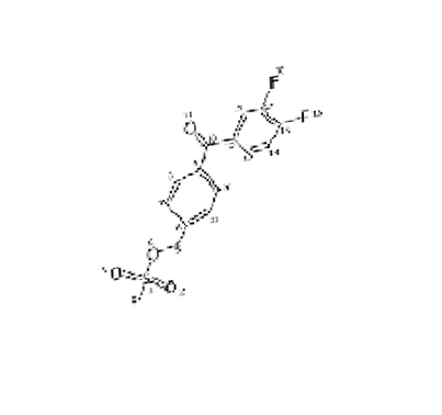 CS(=O)(=O)OCc1ccc(C(=O)c2ccc(F)c(F)c2)cc1